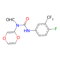 O=CN(C(=O)Nc1ccc(F)c(C(F)(F)F)c1)C1=COC=CO1